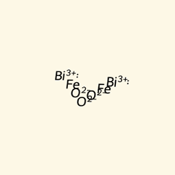 [Bi+3].[Bi+3].[Fe].[Fe].[O-2].[O-2].[O-2]